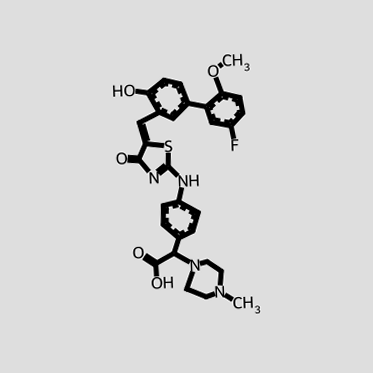 COc1ccc(F)cc1-c1ccc(O)c(C=C2SC(Nc3ccc(C(C(=O)O)N4CCN(C)CC4)cc3)=NC2=O)c1